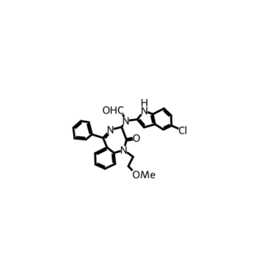 COCCN1C(=O)C(N(C=O)c2cc3cc(Cl)ccc3[nH]2)N=C(c2ccccc2)c2ccccc21